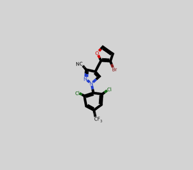 N#Cc1nn(-c2c(Cl)cc(C(F)(F)F)cc2Cl)cc1-c1occc1Br